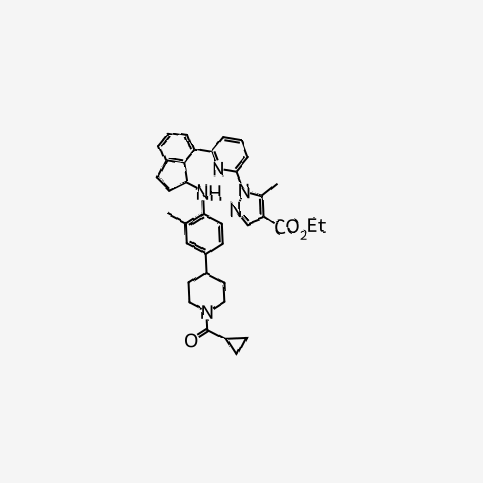 CCOC(=O)c1cnn(-c2cccc(-c3cccc4c3C(Nc3ccc(C5CCN(C(=O)C6CC6)CC5)cc3C)CC4)n2)c1C